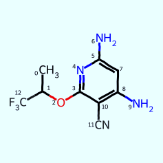 CC(Oc1nc(N)cc(N)c1C#N)C(F)(F)F